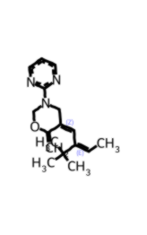 C=C1OCN(c2ncccn2)C/C1=C/C(=C\C)C(C)(C)C